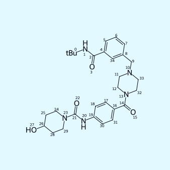 CC(C)(C)NC(=O)c1cccc(CN2CCN(C(=O)c3ccc(NC(=O)N4CCC(O)CC4)cc3)CC2)c1